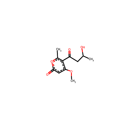 COc1cc(=O)oc(C)c1C(=O)CC(C)O